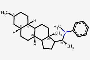 C[C@H]1CC[C@@H]2C3CC[C@@]4(C)C(CCC4[C@H](C)N(C)c4ccccc4)[C@@H]3CC[C@@H]2C1